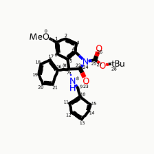 COc1ccc2c(c1)[C@](NCc1ccccc1)(c1ccccc1)C(=O)N2C(=O)OC(C)(C)C